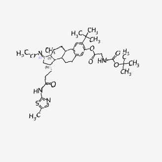 CO/N=C1\C[C@@H](CCC(=O)Nc2ncc(C)s2)C2C3CCc4cc(OC(=O)CNC(=O)OC(C)(C)C)c(C(C)(C)C)cc4C3CC[C@]12C